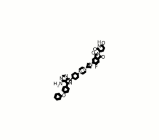 Nc1ncnc2c1c(-c1ccc(Oc3ccccc3)cc1)nn2[C@H]1CC[C@@H](N2CCN(C3CN(c4cc5c(cc4F)C(=O)N([C@@H]4CCC(=O)NC4=O)C5=O)C3)CC2)CC1